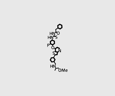 COCC(C)NCc1cccc(-c2cc3nccc(Oc4ccc(NC(=S)NC(=O)Cc5ccccc5)cc4F)c3s2)c1